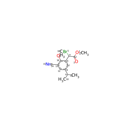 COC(=O)C(Br)c1cc(C(C)C)cc(C#N)c1OC